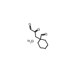 O.O=CC(=O)CC1(C=O)CCCCC1